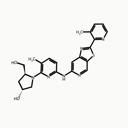 Cc1cccnc1-c1nc2cc(Nc3ccc(C)c(N4C[C@H](O)C[C@H]4CO)n3)ncc2s1